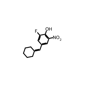 O=[N+]([O-])c1cc(C=C2CCCCC2)cc(F)c1O